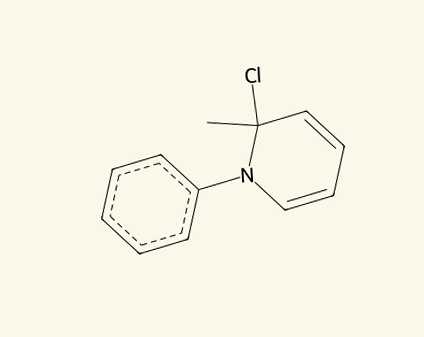 CC1(Cl)C=CC=CN1c1ccccc1